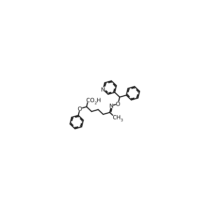 CC(CCCC(Oc1ccccc1)C(=O)O)=NOC(c1ccccc1)c1cccnc1